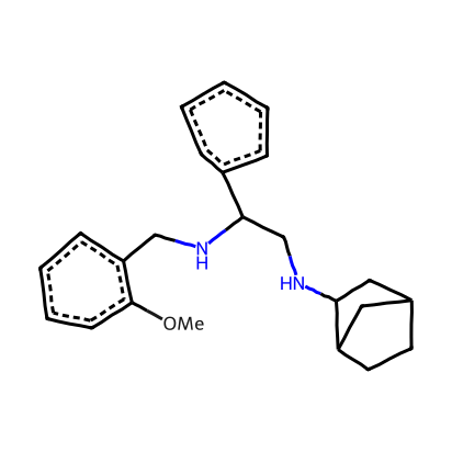 COc1ccccc1CNC(CNC1CC2CCC1C2)c1ccccc1